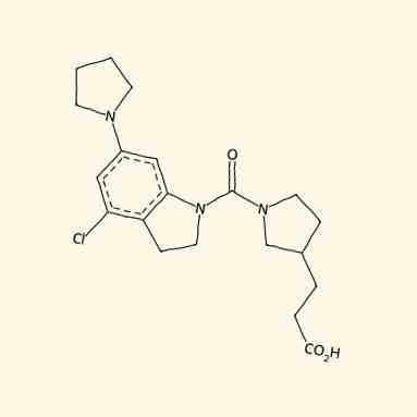 O=C(O)CCC1CCN(C(=O)N2CCc3c(Cl)cc(N4CCCC4)cc32)C1